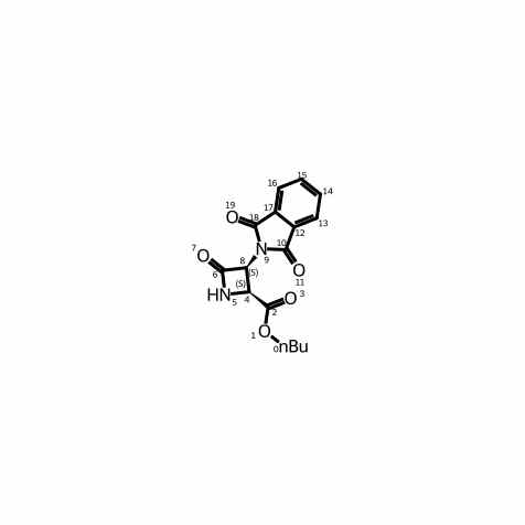 CCCCOC(=O)[C@H]1NC(=O)[C@H]1N1C(=O)c2ccccc2C1=O